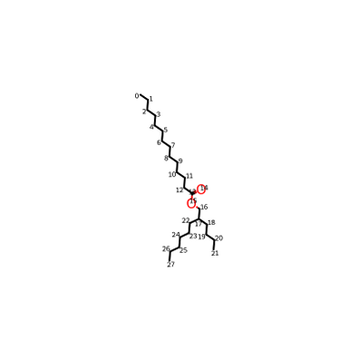 CCCCCCCCCCCCCC(=O)OCC(CCCC)CCCCCC